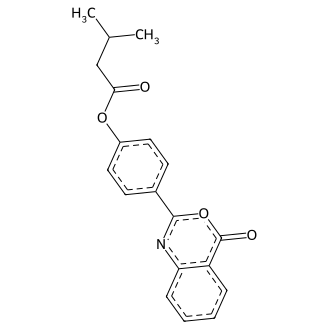 CC(C)CC(=O)Oc1ccc(-c2nc3ccccc3c(=O)o2)cc1